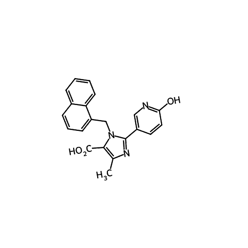 Cc1nc(-c2ccc(O)nc2)n(Cc2cccc3ccccc23)c1C(=O)O